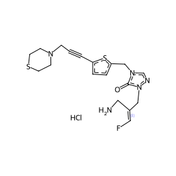 Cl.NC/C(=C\F)Cn1ncn(Cc2ccc(C#CCN3CCSCC3)s2)c1=O